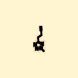 C#CCCc1nnn(C)n1